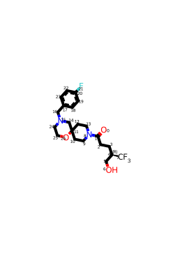 O=C(CC[C@H](CO)C(F)(F)F)N1CCC2(CC1)CN(Cc1ccc(F)cc1)CCO2